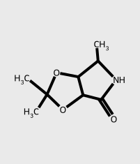 CC1NC(=O)C2OC(C)(C)OC12